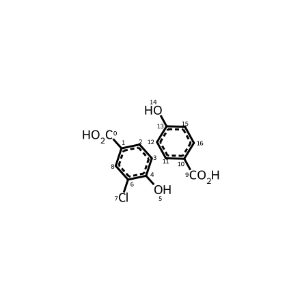 O=C(O)c1ccc(O)c(Cl)c1.O=C(O)c1ccc(O)cc1